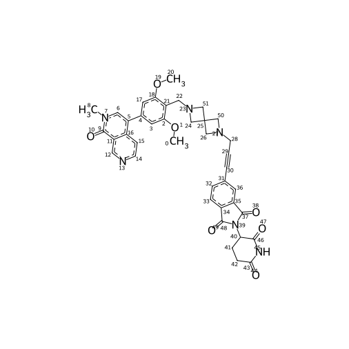 COc1cc(-c2cn(C)c(=O)c3cnccc23)cc(OC)c1CN1CC2(CN(CC#Cc3ccc4c(c3)C(=O)N(C3CCC(=O)NC3=O)C4=O)C2)C1